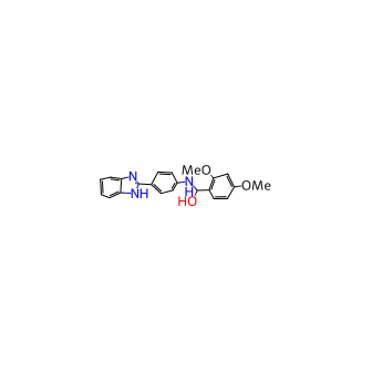 COc1ccc(C(O)Nc2ccc(-c3nc4ccccc4[nH]3)cc2)c(OC)c1